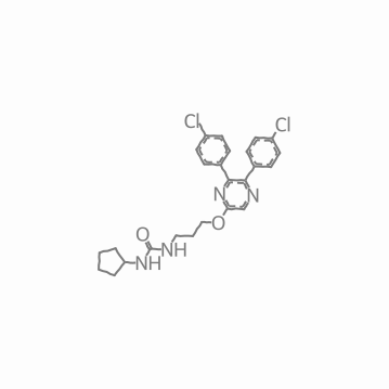 O=C(NCCCOc1cnc(-c2ccc(Cl)cc2)c(-c2ccc(Cl)cc2)n1)NC1CCCC1